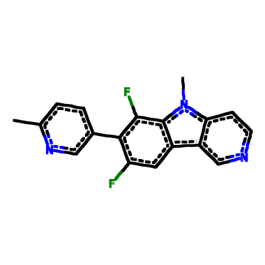 Cc1ccc(-c2c(F)cc3c4cnccc4n(C)c3c2F)cn1